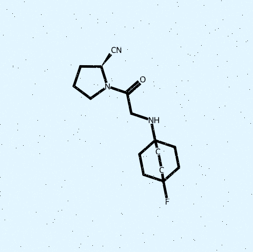 N#C[C@@H]1CCCN1C(=O)CNC12CCC(F)(CC1)CC2